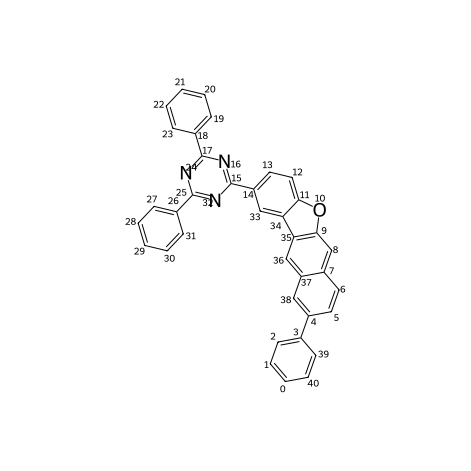 c1ccc(-c2ccc3cc4oc5ccc(-c6nc(-c7ccccc7)nc(-c7ccccc7)n6)cc5c4cc3c2)cc1